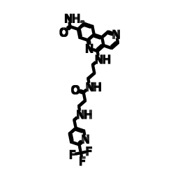 NC(=O)c1ccc2c(c1)nc(NCCCNC(=O)CCNCc1ccc(C(F)(F)F)nc1)c1ccncc12